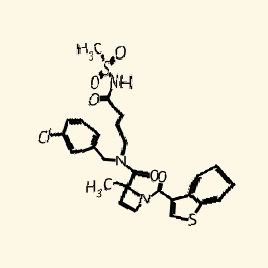 CC1(C(=O)N(CCCC(=O)NS(C)(=O)=O)Cc2cccc(Cl)c2)CCN1C(=O)c1csc2ccccc12